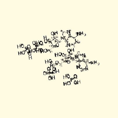 Nc1ncnc2c1ncn2[C@@H]1O[C@H](CO)[C@@H](O)[C@H]1O.Nc1ncnc2c1ncn2[C@@H]1O[C@H](COP(=O)(O)OP(=O)(O)O)[C@@H](O)[C@H]1O.O=P(O)(O)O.O=P(O)(O)O.O=P(O)(O)O